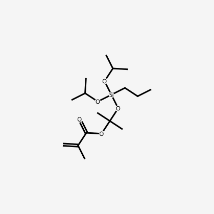 C=C(C)C(=O)OC(C)(C)O[Si](CCC)(OC(C)C)OC(C)C